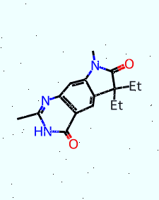 CCC1(CC)C(=O)N(C)c2cc3nc(C)[nH]c(=O)c3cc21